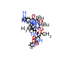 C=C[C@@H]1C[C@]1(NC(=O)[C@@H]1C[C@@]2(CN1C(=O)[C@@H](NC(=O)[C@@H](NC(=O)[C@@H]1Cc3[nH]cnc3CN1)C(C)(C)C)C(C)(C)C)C(C)(C)C21CCC1)C(=O)NS(=O)(=O)N1CCCC1